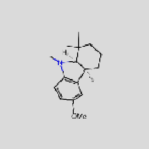 COc1ccc2c(c1)[C@]1(C)CCCC(C)(C)[C@@H]1N2C